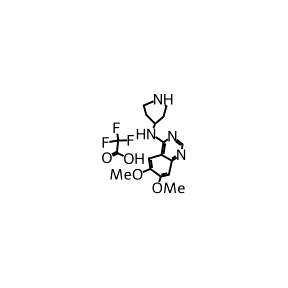 COc1cc2ncnc(NC3CCNCC3)c2cc1OC.O=C(O)C(F)(F)F